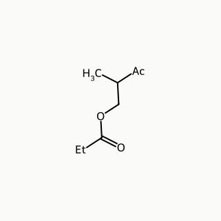 CCC(=O)OCC(C)C(C)=O